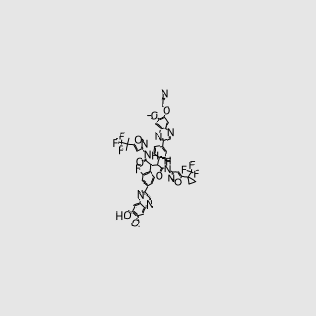 COc1cc2ncc(-c3ccc(C(C(=O)Nc4cc(C(C)(C)C(F)(F)F)on4)C(C(=O)Nc4cc(C5(C(F)(F)F)CC5)on4)c4ccc(-c5cnc6cc(OCC#N)c(OC)cc6n5)cc4F)c(F)c3)nc2cc1O